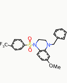 COc1ccc2c(c1)N(Cc1ccccc1)CCN2S(=O)(=O)c1ccc(C(F)(F)F)cc1